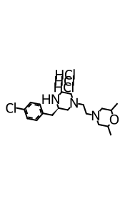 CC1CN(CCN2CCN[C@H](Cc3ccc(Cl)cc3)C2)CC(C)O1.Cl.Cl.Cl